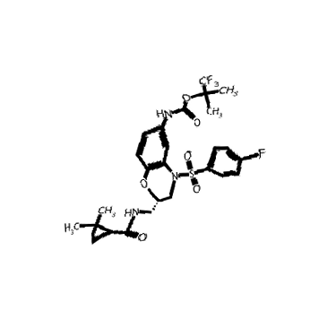 CC1(C)CC1C(=O)NC[C@H]1CN(S(=O)(=O)c2ccc(F)cc2)c2cc(NC(=O)OC(C)(C)C(F)(F)F)ccc2O1